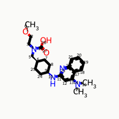 COCCN(C[C@H]1CC[C@@H](Nc2cc(N(C)C)c3ccccc3n2)CC1)C(=O)O